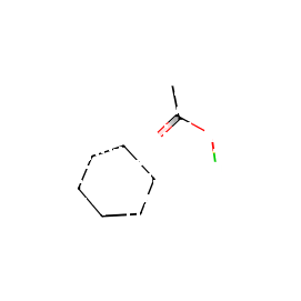 C1CCCCC1.CC(=O)OCl